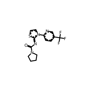 O=C(/N=c1\sccn1-c1ccc(C(F)(F)F)cn1)N1CCCC1